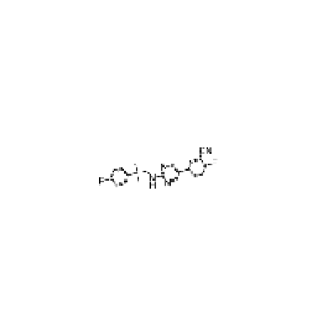 CC(C)(CNc1ncc(-c2ccc(F)c(C#N)c2)cn1)c1ccc(F)cc1